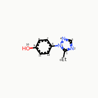 CCc1ncnn1-c1ccc(O)cc1